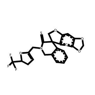 FC(F)(F)C1CC=C(CN2Cc3ccccc3C3(COc4cc5c(cc43)OCO5)C2=S)O1